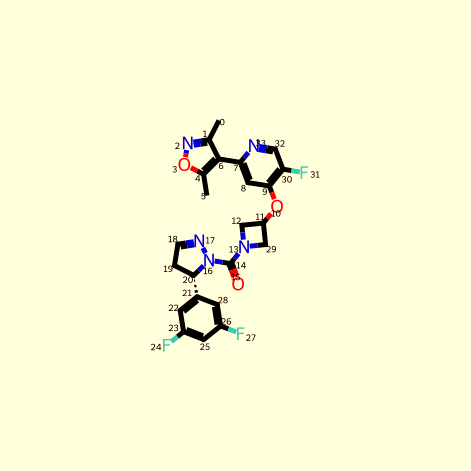 Cc1noc(C)c1-c1cc(OC2CN(C(=O)N3N=CC[C@H]3c3cc(F)cc(F)c3)C2)c(F)cn1